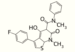 CN(C(=O)C1C(=O)N(C)C2SC=C(c3ccc(F)cc3)C2=C1O)c1ccccc1